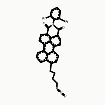 CC(C)c1cccc(C(C)C)c1N1C(=O)c2ccc3c4cccc5c(CCCCN=[N+]=[N-])ccc(c6ccc(c2c36)C1=O)c54